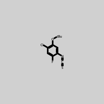 CC(C)(C)Oc1cc(N=C=S)c(F)cc1Cl